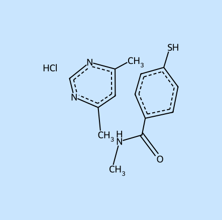 CNC(=O)c1ccc(S)cc1.Cc1cc(C)ncn1.Cl